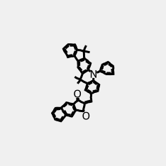 CC1(C)c2ccccc2-c2cc3c(cc21)N(c1ccccc1)c1ccc(C=C2C(=O)c4cc5ccccc5cc4C2=O)cc1C3(C)C